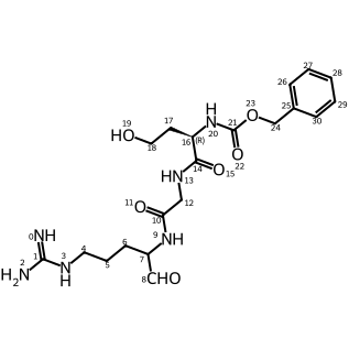 N=C(N)NCCCC(C=O)NC(=O)CNC(=O)[C@@H](CCO)NC(=O)OCc1ccccc1